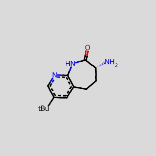 CC(C)(C)c1cnc2c(c1)CC[C@@H](N)C(=O)N2